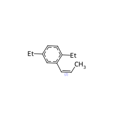 C/C=C\c1cc(CC)ccc1CC